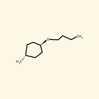 CCCCO[C@H]1CC[C@H](C)CC1